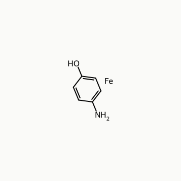 Nc1ccc(O)cc1.[Fe]